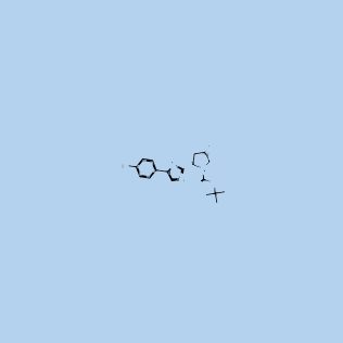 CC(C)(C)OC(=O)N1C[C@@H](I)C[C@H]1c1ncc(-c2ccc(Br)cc2)[nH]1